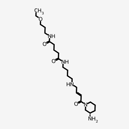 CCOCCCNC(=O)CCCC(=O)NCCCCNC/C=C/C(=O)N1CCC[C@@H](N)C1